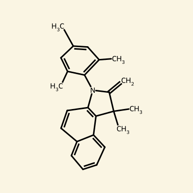 C=C1N(c2c(C)cc(C)cc2C)c2ccc3ccccc3c2C1(C)C